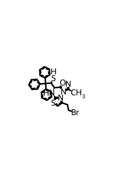 Cc1noc([C@@H](Nc2nc(CCBr)cs2)C(S)C(c2ccccc2)(c2ccccc2)c2ccccc2)n1